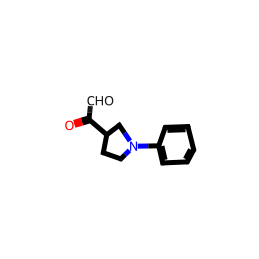 O=CC(=O)C1CCN(c2ccccc2)C1